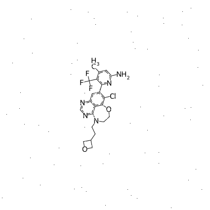 Cc1cc(N)nc(-c2cc3ncnc4c3c(c2Cl)OCCN4CCC2COC2)c1C(F)(F)F